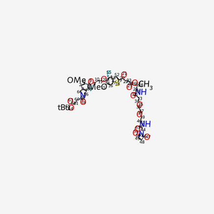 COc1cc2c(c(F)c1OCCCOc1c(OC)cc3sc(C(=O)CCC(=O)O[C@@H](C)CNC(=O)CCOCCOCCNC(=O)CN4C(=O)C=CC4=O)cc3c1F)CN(C(=O)CCC(=O)OC(C)(C)C)C2